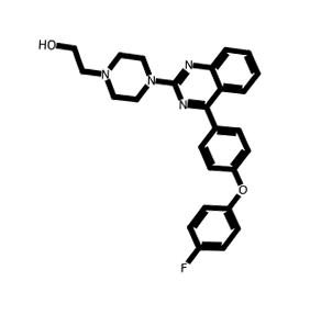 OCCN1CCN(c2nc(-c3ccc(Oc4ccc(F)cc4)cc3)c3ccccc3n2)CC1